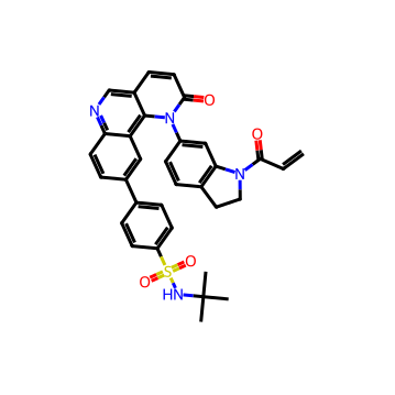 C=CC(=O)N1CCc2ccc(-n3c(=O)ccc4cnc5ccc(-c6ccc(S(=O)(=O)NC(C)(C)C)cc6)cc5c43)cc21